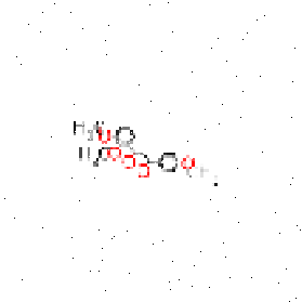 COc1ccc(C(=O)CC(=O)c2cccc(OC)c2OC)cc1